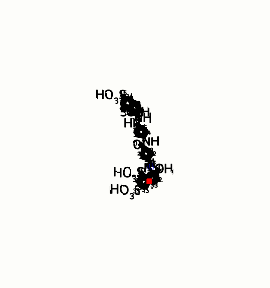 O=C(Nc1ccc(NNc2ccc3cc(S(=O)(=O)O)cc(S(=O)(=O)O)c3c2)cc1)c1ccc(/N=N/c2c(O)ccc3cc(S(=O)(=O)O)cc(S(=O)(=O)O)c23)cc1